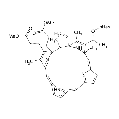 C=CC12NC(C)(C=C3C=CC(=N3)C=c3ccc([nH]3)=CC3=NC(CCC(=O)OC)(C(CCC(=O)OC)=C3C)C1C)C(C(C)OCCCCCC)=C2C